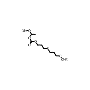 CC(ON=O)OC(=O)OCCCSCCCOC=O